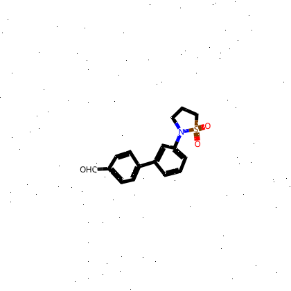 O=Cc1ccc(-c2cccc(N3CCCS3(=O)=O)c2)cc1